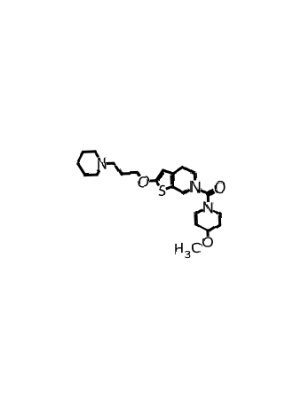 COC1CCN(C(=O)N2CCc3cc(OCCCN4CCCCC4)sc3C2)CC1